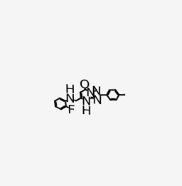 Cc1ccc(-c2nc3[nH]c(CNc4ccccc4F)cc(=O)n3n2)cc1